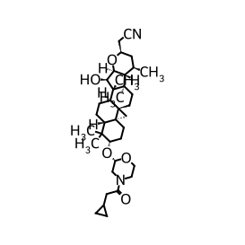 C[C@@H]1C[C@H](CC#N)O[C@H]2[C@H]1[C@@]1(C)CC[C@@]34C[C@@]35CC[C@H](O[C@H]3CN(C(=O)CC6CC6)CCO3)C(C)(C)[C@@H]5CC[C@H]4[C@]1(C)[C@H]2O